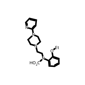 CCOc1ccccc1N(CCN1CCN(c2ccccn2)CC1)C(=O)O